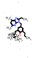 CCCc1cc(Cn2c(CC)nc3c(C)cc(C)nc32)cc(CCC)c1O[Si](C)(C)C(C)(C)C